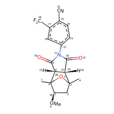 CO[C@@H]1CC2(C)OC1(C)[C@@H]1C(=O)N(c3ccc(C#N)c(C(F)(F)F)c3)C(=O)[C@@H]12